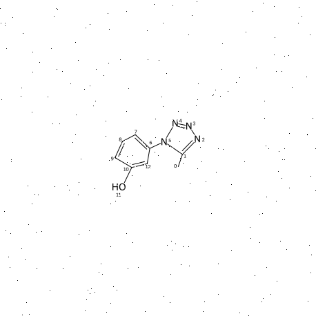 Cc1nnnn1-c1cccc(O)c1